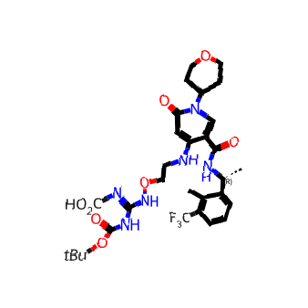 Cc1c([C@@H](C)NC(=O)c2cn(C3CCOCC3)c(=O)cc2NCCONC(=NC(=O)O)NC(=O)OC(C)(C)C)cccc1C(F)(F)F